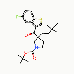 CC(C)(C)CCC1(C(=O)c2csc3ccc(F)cc23)CCN(C(=O)OC(C)(C)C)C1